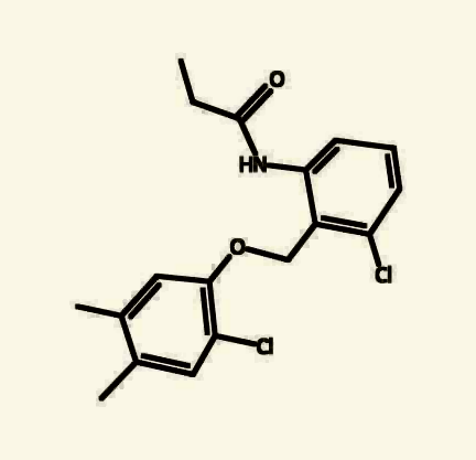 CCC(=O)Nc1cccc(Cl)c1COc1cc(C)c(C)cc1Cl